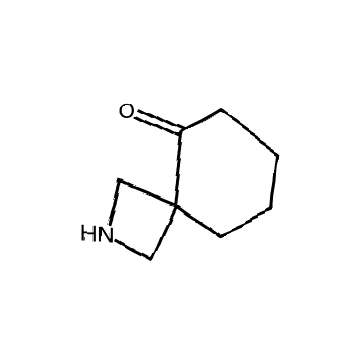 O=C1CCCCC12CNC2